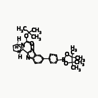 CC(C)(C)OC(=O)N1C(c2nc3ccc(-c4ccc(B5OC(C)(C)C(C)(C)O5)cc4)cc3[nH]2)[C@H]2CC[C@@H]1C2